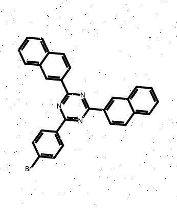 Brc1ccc(-c2nc(-c3ccc4ccccc4c3)nc(-c3ccc4ccccc4c3)n2)cc1